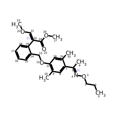 CCCO/N=C(\C)c1cc(C)c(OCc2ccccc2/C(=C\OC)C(=O)OC)cc1C